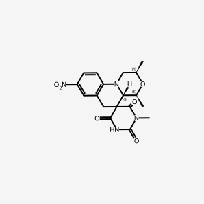 C[C@@H]1CN2c3ccc([N+](=O)[O-])cc3CC3(C(=O)NC(=O)N(C)C3=O)[C@H]2[C@H](C)O1